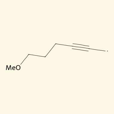 [CH2]C#CCCCOC